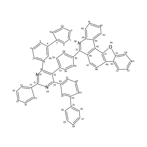 c1ccc(-c2cccc(-c3nc(-c4ccccc4)nc(-c4cccc(-c5ccccc5)c4)c3-c3ccc(-c4nc5ccccc5c5c4ccc4c6ccccc6oc45)cc3)c2)cc1